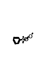 COCO[Si](C)(C)c1ccccc1